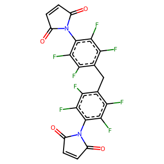 O=C1C=CC(=O)N1c1c(F)c(F)c(Cc2c(F)c(F)c(N3C(=O)C=CC3=O)c(F)c2F)c(F)c1F